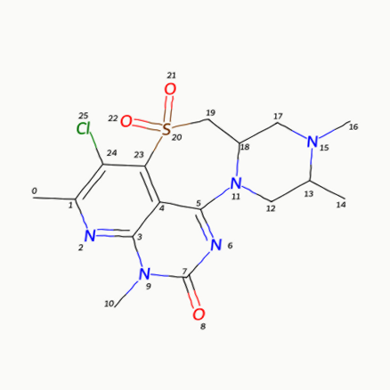 Cc1nc2c3c(nc(=O)n2C)N2CC(C)N(C)CC2CS(=O)(=O)c3c1Cl